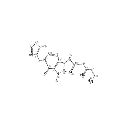 Cc1scnc1Cn1ncc2c3sc(CC(=N)/C=C\N)nc3n(C)c2c1=O